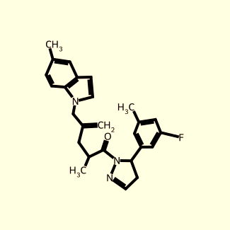 C=C(CC(C)C(=O)N1N=CCC1c1cc(C)cc(F)c1)Cn1ccc2cc(C)ccc21